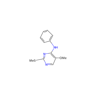 COc1cnc(SC)nc1Nc1ccccc1